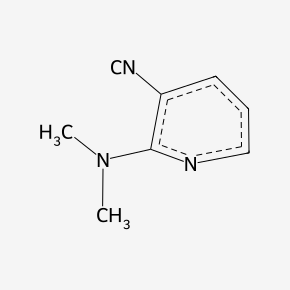 [C-]#[N+]c1cccnc1N(C)C